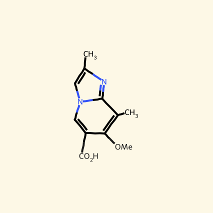 COc1c(C(=O)O)cn2cc(C)nc2c1C